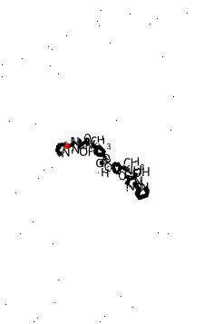 C[C@H](NC(=O)c1cnc(-c2ccccn2)nc1O)c1ccc(O[PH](=O)Oc2ccc([C@H](C)NC(=O)c3cnc(-c4ccccn4)nc3O)cc2)cc1